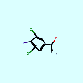 CC(O)c1cc(Cl)c(I)c(Cl)c1